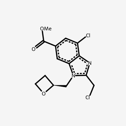 COC(=O)c1cc(Cl)c2nc(CCl)n(C[C@@H]3CCO3)c2c1